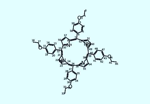 CCOc1ccc(-c2c3nc(c(-c4ccc(OCC)cc4)c4ccc([nH]4)c(-c4ccc(OCC)cc4)c4nc(c(-c5ccc(OCC)cc5)c5ccc2[nH]5)C=C4)C=C3)cc1